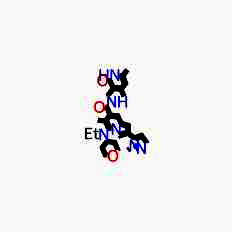 CCN(c1c(C)c(C(=O)NCc2c(C)cc(C)[nH]c2=O)cc2cc(-c3ccnn3C)cn12)C1CCOCC1